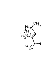 C/N=C(C)\C=C(/N)C(C)I